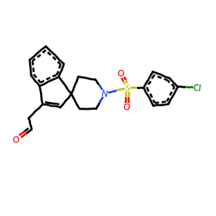 O=CCC1=CC2(CCN(S(=O)(=O)c3ccc(Cl)cc3)CC2)c2ccccc21